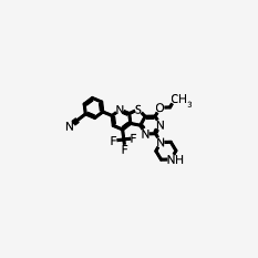 CCOc1nc(N2CCNCC2)nc2c1sc1nc(-c3cccc(C#N)c3)cc(C(F)(F)F)c12